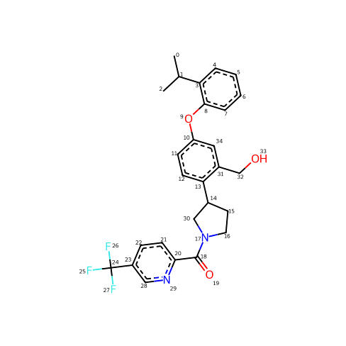 CC(C)c1ccccc1Oc1ccc(C2CCN(C(=O)c3ccc(C(F)(F)F)cn3)C2)c(CO)c1